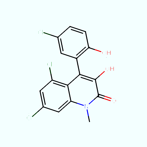 Cn1c(=O)c(O)c(-c2cc(Cl)ccc2O)c2c(Cl)cc(Cl)cc21